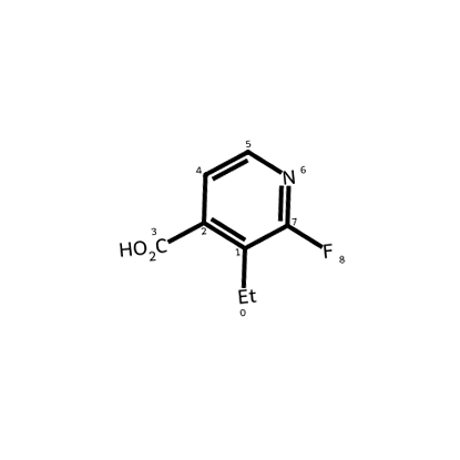 CCc1c(C(=O)O)ccnc1F